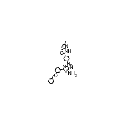 Cc1csc(NC(=O)[C@H]2CC[C@@H](n3cnc4c(N)nc(-c5cccc(OCc6ccccc6)c5)nc43)CC2)n1